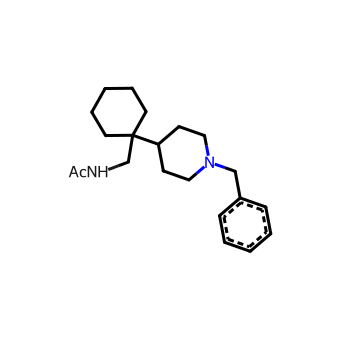 CC(=O)NCC1(C2CCN(Cc3ccccc3)CC2)CCCCC1